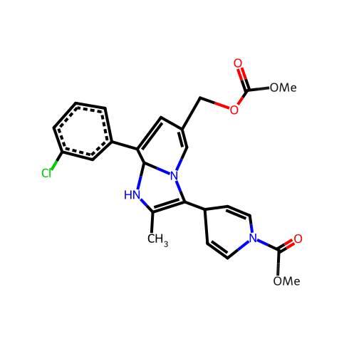 COC(=O)OCC1=CN2C(C3C=CN(C(=O)OC)C=C3)=C(C)NC2C(c2cccc(Cl)c2)=C1